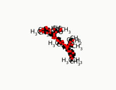 C=C(C)C(=O)OCCCC1(COC(=O)C(=C)C)c2cc(-c3ccc4c(c3)C(C)(C)c3cc(-c5ccc6c(c5)C(CCCOC(=O)C(=C)C)(COC(=O)C(=C)C)c5cc(-c7ccc8ccc9cc(C(C)(C)C)cc%10ccc7c8c9%10)ccc5-6)ccc3-4)ccc2-c2ccc(-c3ccc4ccc5cc(C(C)(C)C)cc6ccc3c4c56)cc21